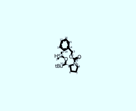 C[SiH](C)OC([C@H]1CCCN1C(=O)OCc1ccccc1)C(C)(C)C